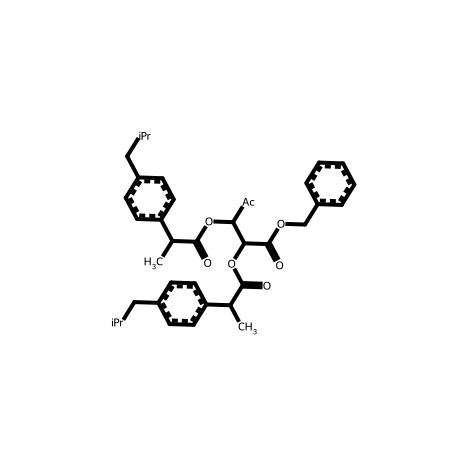 CC(=O)C(OC(=O)C(C)c1ccc(CC(C)C)cc1)C(OC(=O)C(C)c1ccc(CC(C)C)cc1)C(=O)OCc1ccccc1